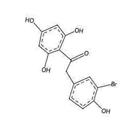 O=C(Cc1ccc(O)c(Br)c1)c1c(O)cc(O)cc1O